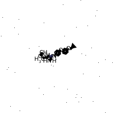 CC(=O)NC(C)CC/C(C=N)=C/Nc1ccc(Oc2cccc(OCC3CC3)c2)cc1